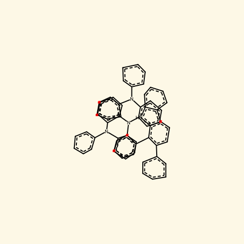 c1ccc(-c2ccc3c([nH]c4ccccc43)c2-c2ccccc2N(c2ccccc2N(c2ccccc2)c2ccccc2)c2ccccc2N(c2ccccc2)c2ccccc2)cc1